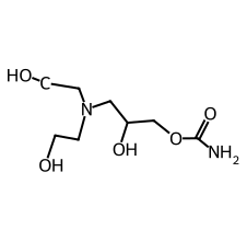 NC(=O)OCC(O)CN(CCO)CCO